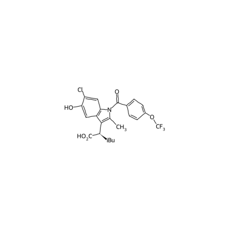 CCC(C)[C@@H](C(=O)O)c1c(C)n(C(=O)c2ccc(OC(F)(F)F)cc2)c2cc(Cl)c(O)cc12